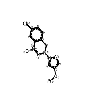 CC(C)Oc1cnn(N2Cc3ccc(Cl)cc3[N+]([O-])=N2)c1